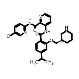 CC(C)c1ccc(C(=O)Nc2cccnc2C(=O)Nc2ccc(Cl)cn2)c(OC[C@@H]2CCCNC2)c1